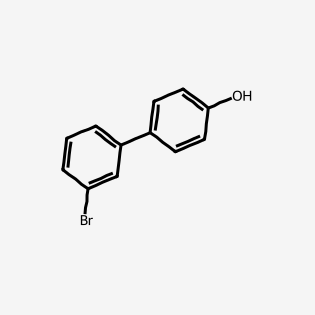 Oc1ccc(-c2cccc(Br)c2)cc1